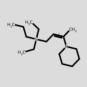 CCC[Si](CC)(CC)C/C=C(/C)N1CCCCC1